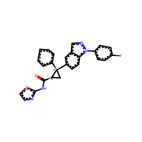 O=C(Nc1nccs1)[C@@H]1C[C@@]1(c1ccccc1)c1ccc2c(cnn2-c2ccc(F)cc2)c1